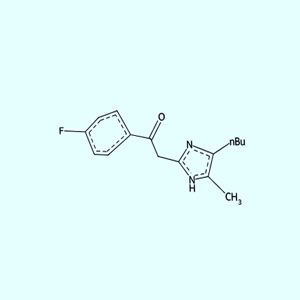 CCCCc1nc(CC(=O)c2ccc(F)cc2)[nH]c1C